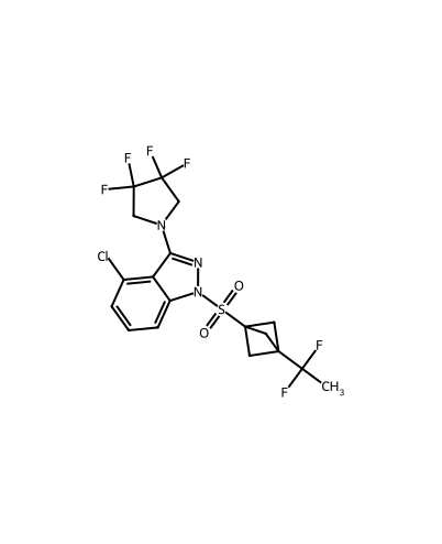 CC(F)(F)C12CC(S(=O)(=O)n3nc(N4CC(F)(F)C(F)(F)C4)c4c(Cl)cccc43)(C1)C2